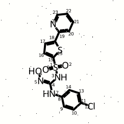 O=S(=O)(NC(=NO)Nc1ccc(Cl)cc1)c1ccc(-c2ccccn2)s1